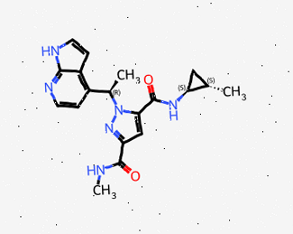 CNC(=O)c1cc(C(=O)N[C@H]2C[C@@H]2C)n([C@H](C)c2ccnc3[nH]ccc23)n1